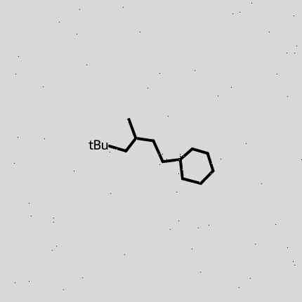 CC(CC[C]1CCCCC1)CC(C)(C)C